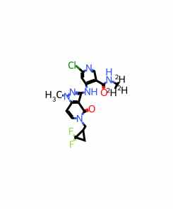 [2H]C([2H])([2H])NC(=O)c1cnc(Cl)cc1Nc1nn(C)c2ccn(CC3CC3(F)F)c(=O)c12